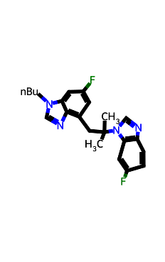 CCCCn1cnc2c(CC(C)(C)n3cnc4ccc(F)cc43)cc(F)cc21